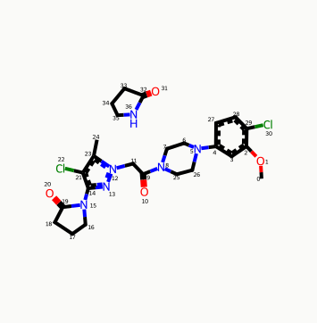 COc1cc(N2CCN(C(=O)Cn3nc(N4CCCC4=O)c(Cl)c3C)CC2)ccc1Cl.O=C1CCCN1